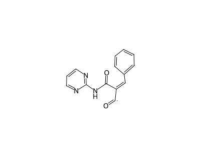 O=[C]C(=Cc1ccccc1)C(=O)Nc1ncccn1